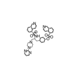 O=S(=O)(NC(Cc1ccc(OS(=O)(=O)c2cccc3cnccc23)cc1)CN1CCN(c2ncccn2)CC1)c1cccc2cnccc12